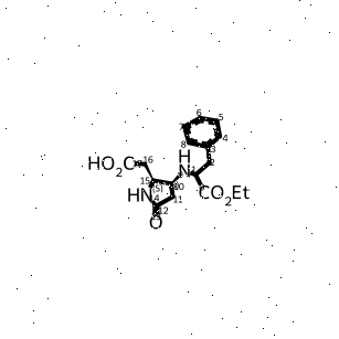 CCOC(=O)C(Cc1ccccc1)N[C@H]1CC(=O)N[C@H]1CC(=O)O